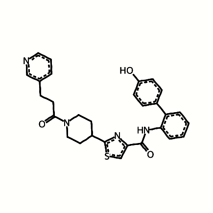 O=C(Nc1ccccc1-c1ccc(O)cc1)c1csc(C2CCN(C(=O)CCc3cccnc3)CC2)n1